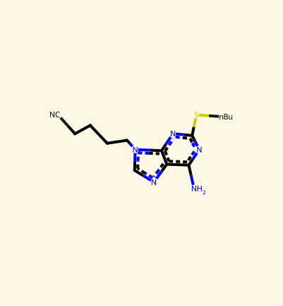 CCCCSc1nc(N)c2ncn(CCCCC#N)c2n1